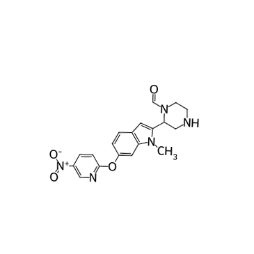 Cn1c(C2CNCCN2C=O)cc2ccc(Oc3ccc([N+](=O)[O-])cn3)cc21